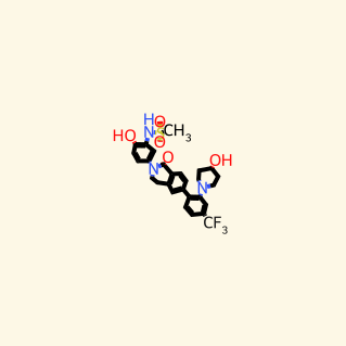 CS(=O)(=O)Nc1cc(N2CCc3cc(-c4ccc(C(F)(F)F)cc4N4CCC(O)CC4)ccc3C2=O)ccc1O